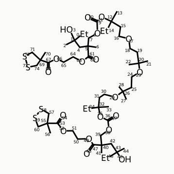 CCC(C)(O)CC(C)(COC(=O)OC(C)(CC)CCOCCC(C)(C)OCCC(C)(C)OCCC(C)(CC)OC(=O)OCC(C)(CC(C)(O)CC)C(=O)OCCOC(=O)C1(C)CSSC1)C(=O)OCCOC(=O)C1(C)CSSC1